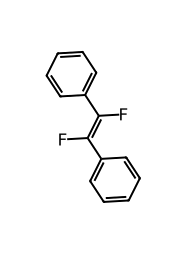 FC(=C(F)c1ccccc1)c1ccccc1